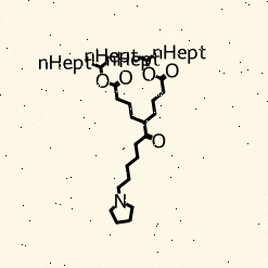 CCCCCCCC(CCCCCCC)OC(=O)CCCC(CCCC(=O)OC(CCCCCCC)CCCCCCC)C(=O)CCCCCN1CCCC1